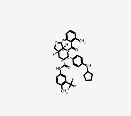 Cc1ccc(NC(=O)[C@@H]2C[C@@H]3COC[C@@H]3N(C(=O)c3c(C)cccc3F)[C@@H]2c2ccc(NC3CCCC3)cc2)cc1C(F)(F)F